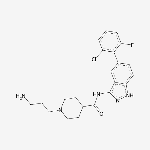 NCCCN1CCC(C(=O)Nc2n[nH]c3ccc(-c4c(F)cccc4Cl)cc23)CC1